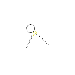 CCCCCCCCSC1(SCCCCCCCC)CCCCCCCCC1